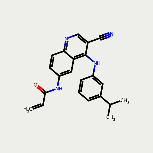 C=CC(=O)Nc1ccc2ncc(C#N)c(Nc3cccc(C(C)C)c3)c2c1